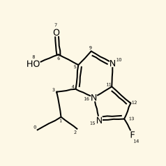 CC(C)Cc1c(C(=O)O)cnc2cc(F)nn12